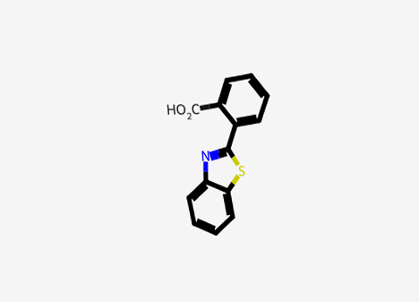 O=C(O)c1ccccc1-c1nc2ccccc2s1